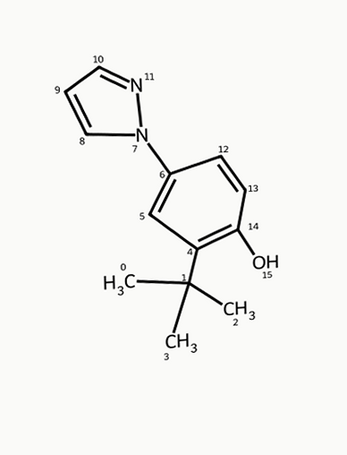 CC(C)(C)c1cc(-n2cccn2)ccc1O